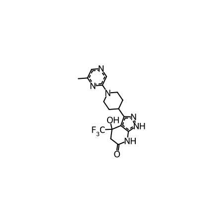 Cc1cncc(N2CCC(c3n[nH]c4c3C(O)(C(F)(F)F)CC(=O)N4)CC2)n1